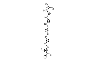 CC(=O)N(C)CCOCCOCCOCCNC(C)C